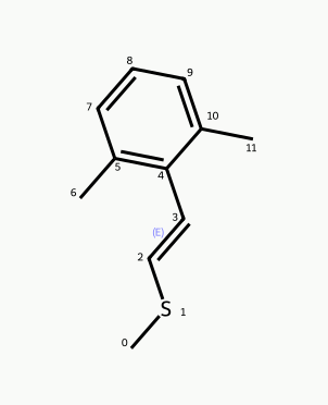 CS/C=C/c1c(C)cccc1C